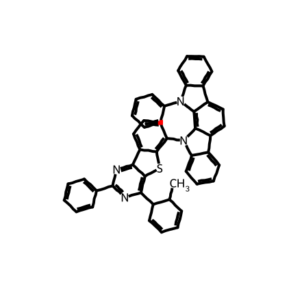 CC1C=CC=CC1c1nc(-c2ccccc2)nc2c1sc1c(-n3c4ccccc4c4ccc5c6ccccc6n(-c6ccccc6)c5c43)cccc12